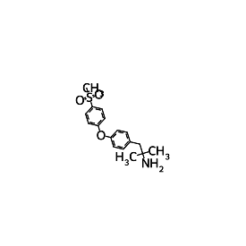 CC(C)(N)Cc1ccc(Oc2ccc(S(C)(=O)=O)cc2)cc1